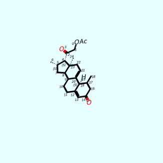 CC(=O)OCC(=O)[C@H]1[C@@H](C)CC2C3CCC4=CC(=O)CC(C)[C@@H]4C3=CC[C@@]21C